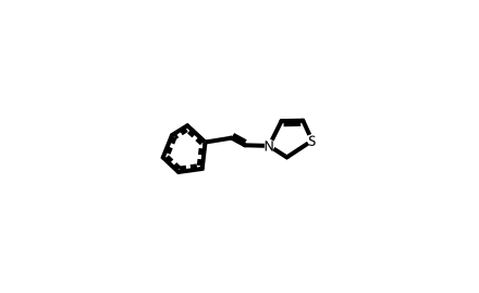 C1=CN(/C=C/c2ccccc2)CS1